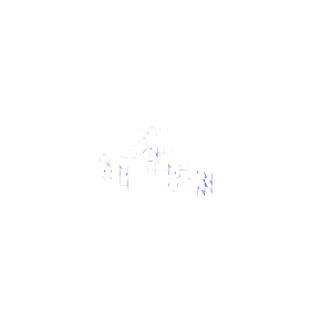 C[C@@H](NC(=O)CSc1nnnn1C)[C@H]1C(=O)N2C(C(=O)O)=C(SC3CNC(C(=O)N(C)C)C3)[C@H](C)[C@H]12